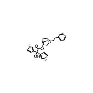 O=C(OC1C[N+]2(CCc3ccccc3)CCC1CC2)C(O)(c1ccsc1)c1ccsc1